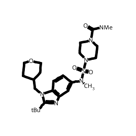 CNC(=O)N1CCN(S(=O)(=O)N(C)c2ccc3c(c2)nc(C(C)(C)C)n3CC2CCOCC2)CC1